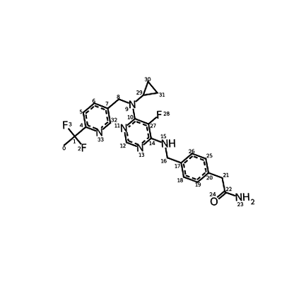 CC(F)(F)c1ccc(CN(c2ncnc(NCc3ccc(CC(N)=O)cc3)c2F)C2CC2)cn1